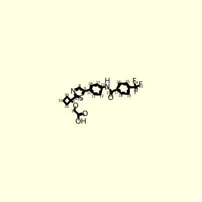 O=C(O)COC1(c2ncc(-c3ccc(NC(=O)c4ccc(C(F)(F)F)cc4)cc3)s2)CCC1